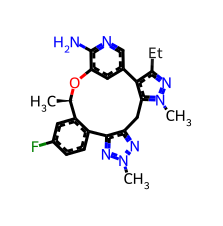 CCc1nn(C)c2c1-c1cnc(N)c(c1)O[C@H](C)c1cc(F)ccc1-c1nn(C)nc1C2